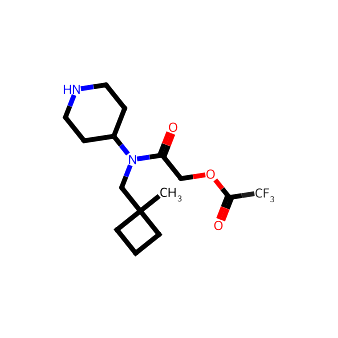 CC1(CN(C(=O)COC(=O)C(F)(F)F)C2CCNCC2)CCC1